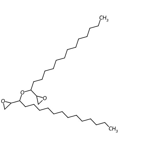 CCCCCCCCCCCCCC(OC(CCCCCCCCCCCCC)C1CO1)C1CO1